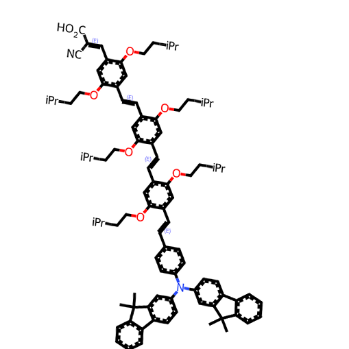 CC(C)CCOc1cc(/C=C/c2cc(OCCC(C)C)c(/C=C/c3cc(OCCC(C)C)c(/C=C(\C#N)C(=O)O)cc3OCCC(C)C)cc2OCCC(C)C)c(OCCC(C)C)cc1/C=C/c1ccc(N(c2ccc3c(c2)C(C)(C)c2ccccc2-3)c2ccc3c(c2)C(C)(C)c2ccccc2-3)cc1